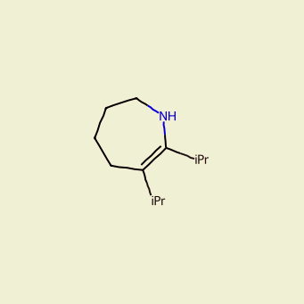 CC(C)C1=C(C(C)C)NCCCC1